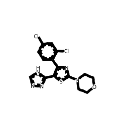 Clc1ccc(-c2nc(N3CCOCC3)sc2-c2nnc[nH]2)c(Cl)c1